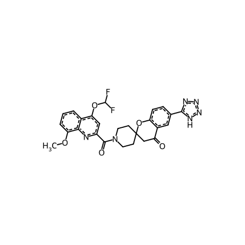 COc1cccc2c(OC(F)F)cc(C(=O)N3CCC4(CC3)CC(=O)c3cc(-c5nnn[nH]5)ccc3O4)nc12